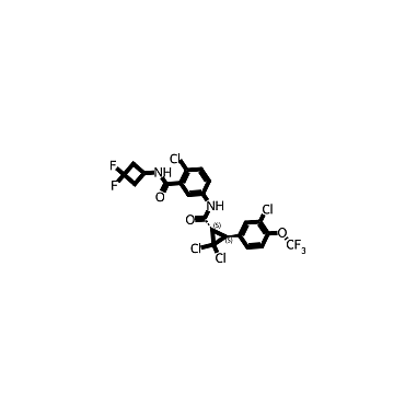 O=C(NC1CC(F)(F)C1)c1cc(NC(=O)[C@@H]2[C@@H](c3ccc(OC(F)(F)F)c(Cl)c3)C2(Cl)Cl)ccc1Cl